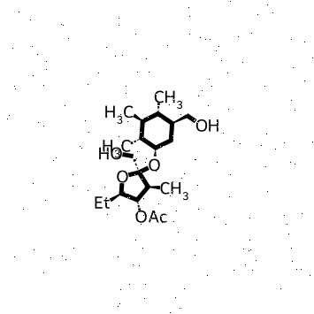 CC[C@H]1O[C@@](CO)(O[C@H]2C[C@H](CO)[C@@H](C)[C@H](C)[C@H]2C)[C@@H](C)[C@@H]1OC(C)=O